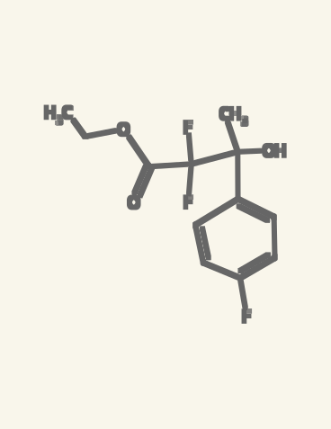 CCOC(=O)C(F)(F)C(C)(O)c1ccc(F)cc1